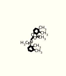 Cc1cccc(N(C)OCC(=O)ON(C)c2cccc(C)c2C)c1C